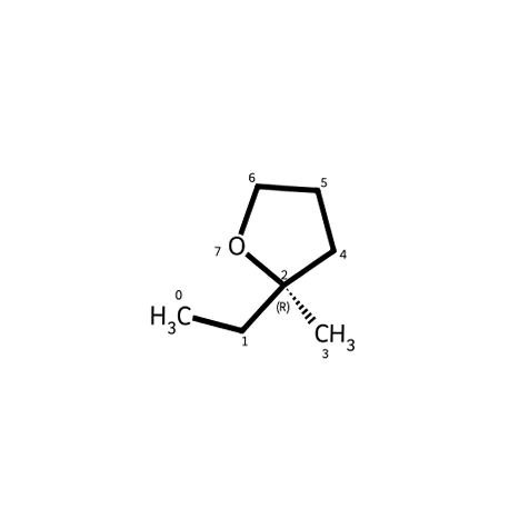 CC[C@]1(C)CCCO1